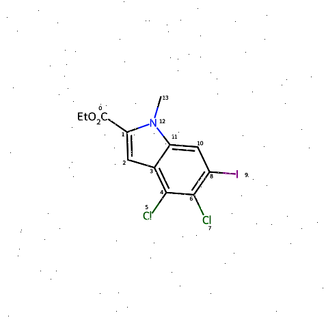 CCOC(=O)c1cc2c(Cl)c(Cl)c(I)cc2n1C